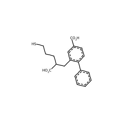 O=C(O)c1ccc(-c2ccccc2)c(CC(CCCS)C(=O)O)c1